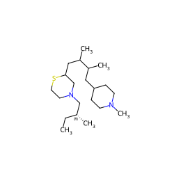 CC[C@@H](C)CN1CCSC(CC(C)C(C)CC2CCN(C)CC2)C1